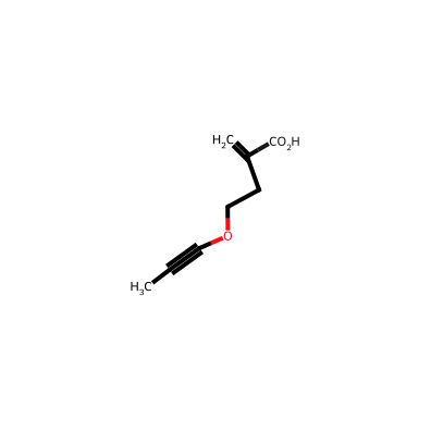 C=C(CCOC#CC)C(=O)O